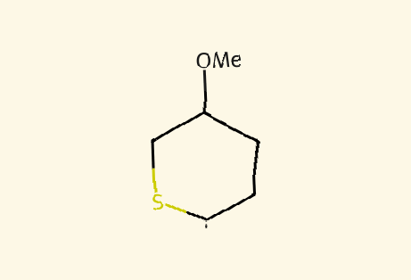 COC1CC[CH]SC1